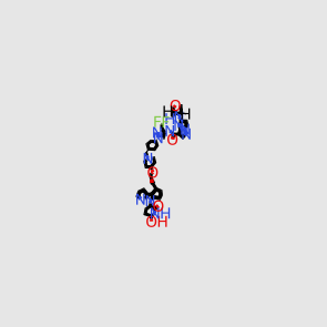 O=C(Nc1cn([C@H]2CC[C@H](CN3CCC(OCC#Cc4cccc5c4c4cccnc4n5C4CCC(O)NC4=O)CC3)CC2)nc1C(F)F)c1cnn2ccc(N3C[C@H]4C[C@@H]3CO4)nc12